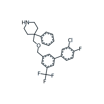 Fc1ccc(-c2cc(COCC3(c4ccccc4)CCNCC3)cc(C(F)(F)F)c2)cc1Cl